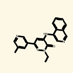 CCn1nc(-c2cncc(C)c2)cc(Nc2cncc3ccccc23)c1=O